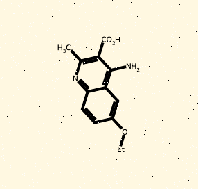 CCOc1ccc2nc(C)c(C(=O)O)c(N)c2c1